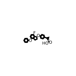 O=C(O)[C@H]1CC1c1ccc(OC2CCc3c(Oc4ccccc4)ccc(F)c32)cc1